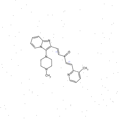 Cc1cccnc1/C=C/C(=O)/C=C/c1nc2ccccn2c1N1CCN(C)CC1